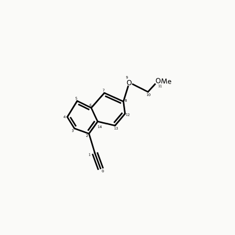 C#Cc1cccc2cc(OCOC)ccc12